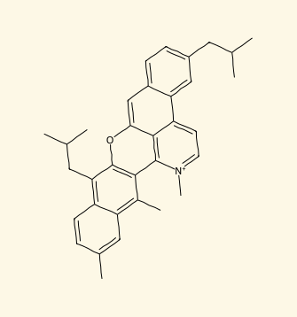 Cc1ccc2c(CC(C)C)c3c(c(C)c2c1)-c1c2c(cc4ccc(CC(C)C)cc4c2cc[n+]1C)O3